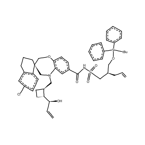 C=CC[C@H](CO[Si](c1ccccc1)(c1ccccc1)C(C)(C)C)CS(=O)(=O)NC(=O)c1ccc2c(c1)N(C[C@@H]1CC[C@H]1[C@@H](O)C=C)C[C@@]1(CCCc3cc(Cl)ccc31)CO2